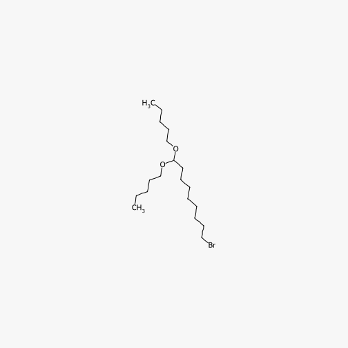 CCCCCOC(CCCCCCCCBr)OCCCCC